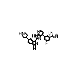 CN(C)CC(N)c1cc(F)cc(-c2ccnc3[nH]c(-c4n[nH]c5ccc(C6CCNCC6)cc45)nc23)c1